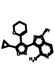 CC(C)n1nc(-c2noc(C3CC3)c2C2=CCCCO2)c2c(N)nccc21